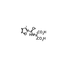 O=C(NC(C(=O)O)C(=O)O)c1ccco1